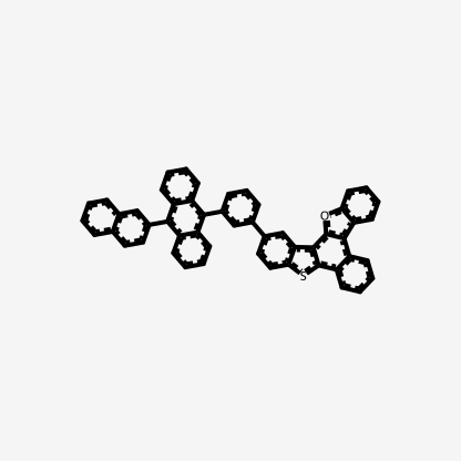 c1cc(-c2ccc3sc4c5ccccc5c5c6ccccc6oc5c4c3c2)cc(-c2c3ccccc3c(-c3ccc4ccccc4c3)c3ccccc23)c1